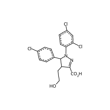 O=C(O)C1=NN(c2ccc(Cl)cc2Cl)C(c2ccc(Cl)cc2)C1CCO